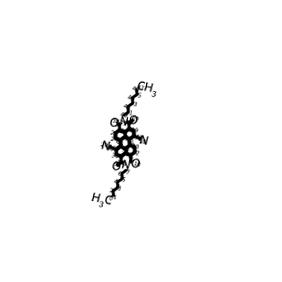 CCCCCCCCN1C(=O)c2ccc3c4c(C#N)cc5c6c(ccc(c7c(C#N)cc(c2c37)C1=O)c64)C(=O)N(CCCCCCCC)C5=O